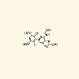 COc1cc(OC)c(Cl)c(-c2cc3cnc(SC)nc3c(NCC(C)(C)C)n2)c1Cl